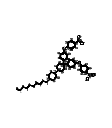 CCCCCCCCCC[C@H]1CC[C@@H](C2CCC(c3ccc(Oc4ccc([N+](=O)[O-])cc4)cc3)(c3ccc(Oc4ccc([N+](=O)[O-])cc4)cc3)CC2)CC1